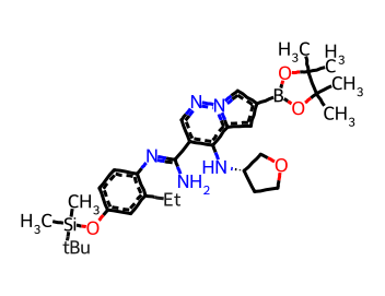 CCc1cc(O[Si](C)(C)C(C)(C)C)ccc1/N=C(\N)c1cnn2cc(B3OC(C)(C)C(C)(C)O3)cc2c1N[C@H]1CCOC1